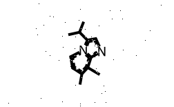 Cc1ccn2c(C(C)C)cnc2c1C